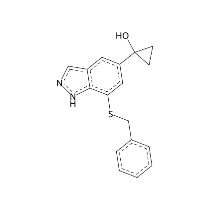 OC1(c2cc(SCc3ccccc3)c3[nH]ncc3c2)CC1